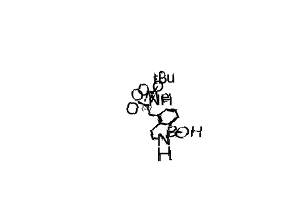 COC(=O)[C@H](Cc1cccc2c1CCNB2O)NC(=O)OC(C)(C)C